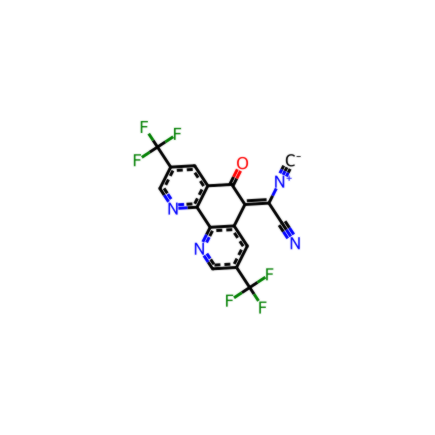 [C-]#[N+]/C(C#N)=C1\C(=O)c2cc(C(F)(F)F)cnc2-c2ncc(C(F)(F)F)cc21